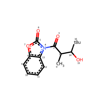 CC(C(=O)n1c(=O)oc2ccccc21)C(O)C(C)(C)C